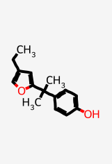 CCc1coc(C(C)(C)c2ccc(O)cc2)c1